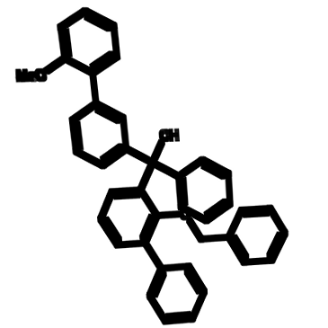 COc1ccccc1-c1cccc(C(O)(c2ccccc2)c2cccc(-c3ccccc3)c2OCc2ccccc2)c1